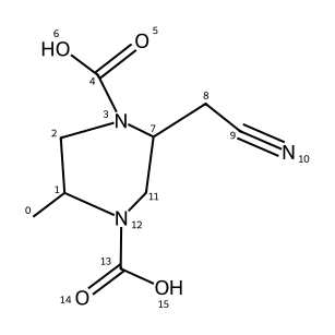 CC1CN(C(=O)O)C(CC#N)CN1C(=O)O